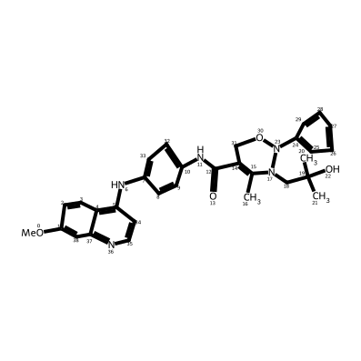 COc1ccc2c(Nc3ccc(NC(=O)C4=C(C)N(CC(C)(C)O)N(c5ccccc5)OC4)cc3)ccnc2c1